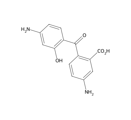 Nc1ccc(C(=O)c2ccc(N)cc2C(=O)O)c(O)c1